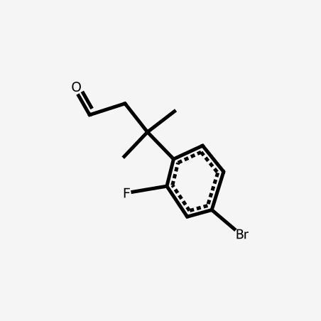 CC(C)(CC=O)c1ccc(Br)cc1F